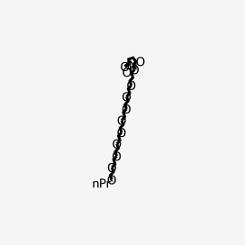 CCCOCCOCCOCCOCCOCCOCCOCCOCCOCCC(=O)ON1C(=O)CCC1=O